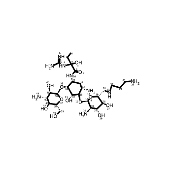 CCC(O)(NC(=N)N)C(=O)N[C@@H]1C[C@H](N)C(O[C@H]2O[C@H](CNCCCN)[C@@H](O)[C@H](O)[C@H]2N)[C@H](O)[C@H]1O[C@H]1O[C@H](CO)[C@@H](O)[C@H](N)[C@H]1O